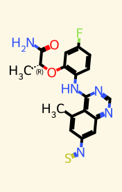 Cc1cc(N=S)cc2ncnc(Nc3ccc(F)cc3O[C@H](C)C(N)=O)c12